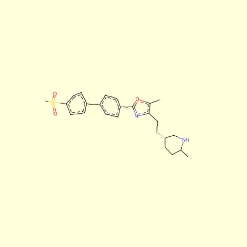 Cc1oc(-c2ccc(-c3ccc(S(C)(=O)=O)cc3)cc2)nc1CC[C@H]1CCC(C)NC1